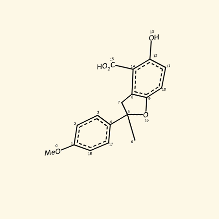 COc1ccc(C2(C)Cc3c(ccc(O)c3C(=O)O)O2)cc1